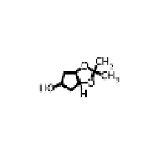 CC1(C)OC2CC(O)C[C@H]2O1